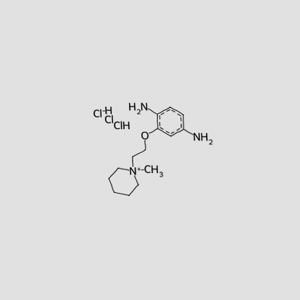 C[N+]1(CCOc2cc(N)ccc2N)CCCCC1.Cl.Cl.[Cl-]